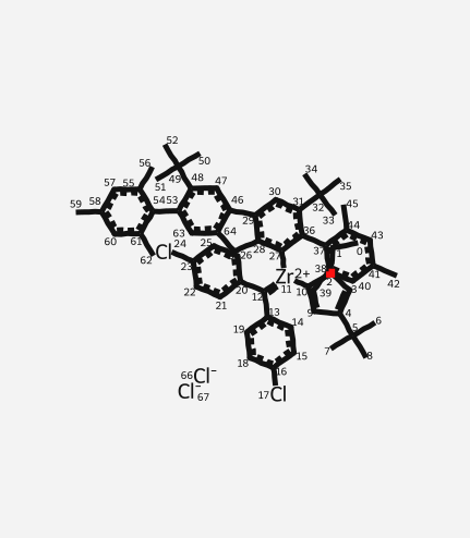 CCC1C=C(C(C)(C)C)C=[C]1[Zr+2](=[C](c1ccc(Cl)cc1)c1ccc(Cl)cc1)[c]1c2c(cc(C(C)(C)C)c1-c1c(C)cc(C)cc1C)-c1cc(C(C)(C)C)c(-c3c(C)cc(C)cc3C)cc1C2.[Cl-].[Cl-]